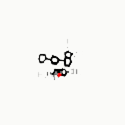 CC1=C2c3oc(C)cc3C1[Si]2(C)C.CC1=Cc2c(-c3ccc(C4CCCCC4)cc3)cccc2[CH]1[Zr+2].[Cl-].[Cl-]